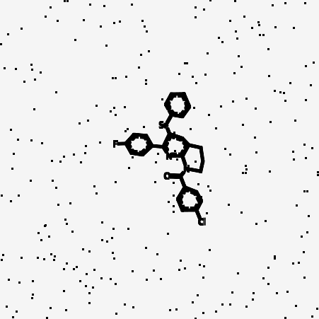 O=C(c1ccc(Cl)cc1)N1CCCc2cc([Se]c3ccccc3)c(-c3ccc(F)cc3)nc21